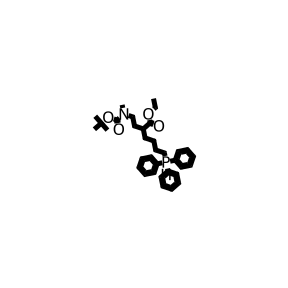 CCOC(=O)C(CCCC[PH](c1ccccc1)(c1ccccc1)c1ccccc1)CCN(C)C(=O)OC(C)(C)C